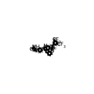 Cc1ccccc1[C@H]1[C@@H]2CN(C3CCN(CC(C)(C)C(N)=O)CC3)C[C@H]2CCN1C(=O)N(C)[C@H](C)c1cc(C(F)(F)F)cc(C(F)(F)F)c1